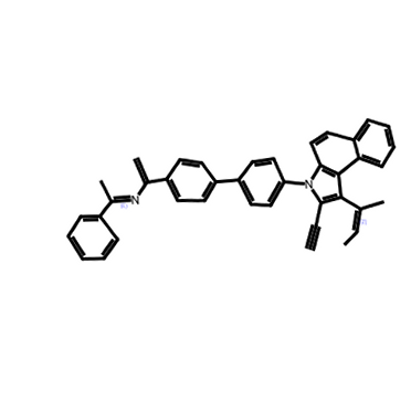 C#Cc1c(/C(C)=C\C)c2c3ccccc3ccc2n1-c1ccc(-c2ccc(C(=C)/N=C(\C)c3ccccc3)cc2)cc1